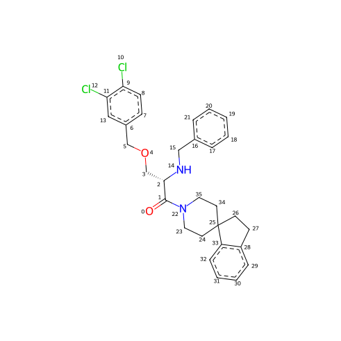 O=C([C@H](COCc1ccc(Cl)c(Cl)c1)NCc1ccccc1)N1CCC2(CCc3ccccc32)CC1